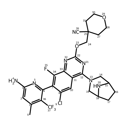 Cc1cc(N)nc(-c2c(Cl)cc3c(N4CC5CCC(C4)N5)nc(OCC4(C#N)CCOCC4)nc3c2F)c1C(F)(F)F